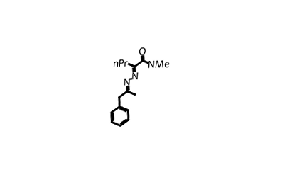 CCC/C(=N\N=C(/C)Cc1ccccc1)C(=O)NC